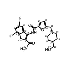 NC(=O)c1oc2c(F)cc(F)cc2c1NC(=O)c1ccc(CN2CCC(CO)CC2)o1